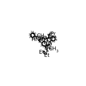 CCN(CC)CCN(C)C(=O)CN(C(=O)[C@@H](CC(=O)N[C@@H](C)c1ccccc1)CC1CC1)[C@@H](CC1CCCCC1)[C@@H](O)[C@@H](O)CC(C)C